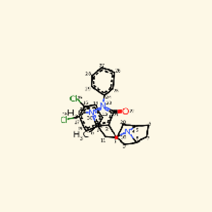 Cc1c(CN2C3CCC2CC(Cc2ccc(Cl)c(Cl)c2)C3)c(=O)n(-c2ccccc2)n1C